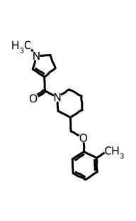 Cc1ccccc1OCC1CCCN(C(=O)C2=CN(C)CC2)C1